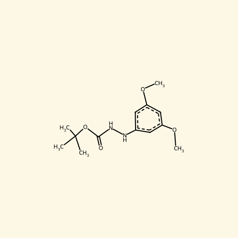 COc1cc(NNC(=O)OC(C)(C)C)cc(OC)c1